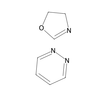 C1=NCCO1.c1ccnnc1